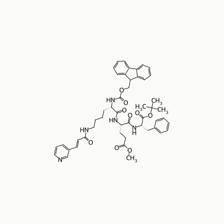 COC(=O)CC[C@H](NC(=O)[C@H](CCCCNC(=O)/C=C/c1cccnc1)NC(=O)OCC1c2ccccc2-c2ccccc21)C(=O)N[C@@H](Cc1ccccc1)C(=O)OC(C)(C)C